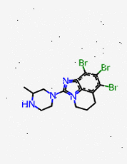 CC1CN(c2nc3c(Br)c(Br)c(Br)c4c3n2CCC4)CCN1